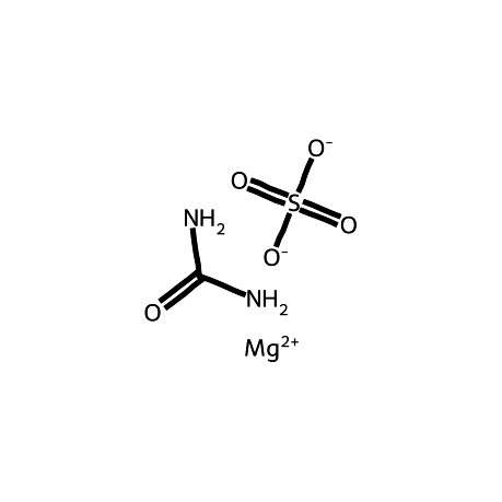 NC(N)=O.O=S(=O)([O-])[O-].[Mg+2]